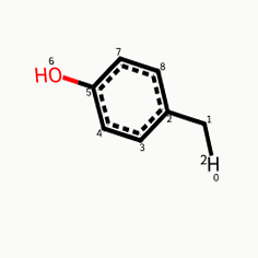 [2H]Cc1ccc(O)cc1